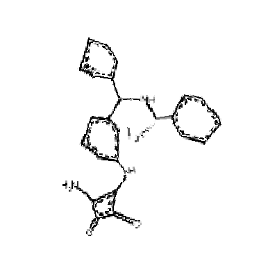 C[C@H](NC(c1ccccc1)c1cccc(Nc2c(N)c(=O)c2=O)c1)c1ccccc1